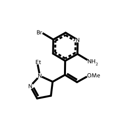 CCN1N=CCC1/C(=C/OC)c1cc(Br)cnc1N